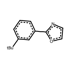 CC(C)(C)c1cccc(-c2ncco2)c1